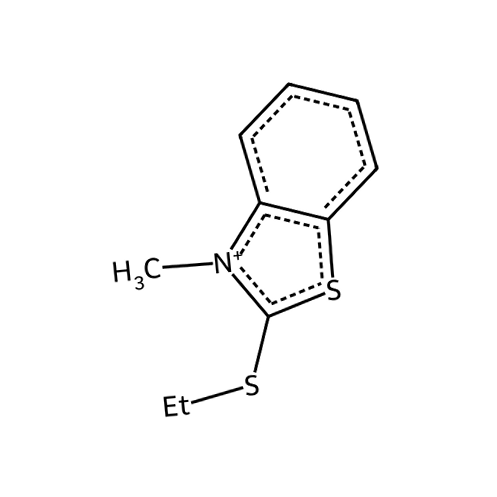 CCSc1sc2ccccc2[n+]1C